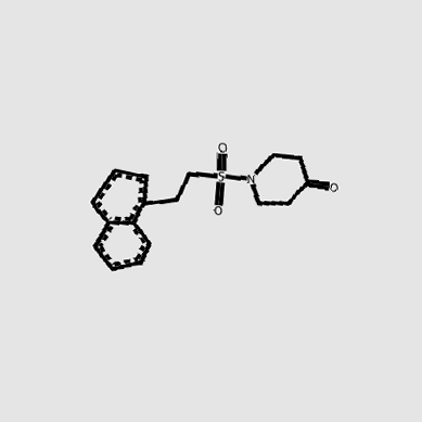 O=C1CCN(S(=O)(=O)CCc2cccc3ccccc23)CC1